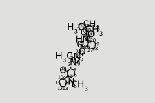 Cc1n(CC2CCc3c(c4ccccc4n3C)C2=O)cc[n+]1COC(=O)[C@@H]1CCCC[C@H]1NC(=O)OC(C)(C)C